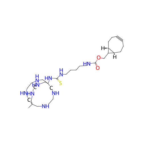 CC12CNCCNCC(NC(=S)NCCCCCNC(=O)OCC3[C@H]4CCC#CCC[C@@H]34)(CNCCNC1)CNCCNC2